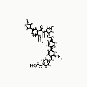 CN1C[C@H](NC(=O)c2cc(-c3cnn(C)c3)cnc2N)[C@@H](OCc2ccc(-c3ccc(CN4CCN(CCO)CC4)c(C(F)(F)F)c3)cc2)C1